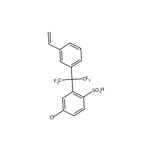 C=Cc1cccc(C(c2cc(Cl)ccc2S(=O)(=O)O)(C(F)(F)F)C(F)(F)F)c1